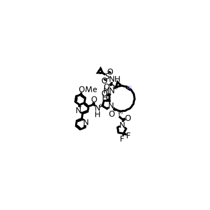 COc1ccc2nc(-c3ccccn3)cc(C(=O)N[C@@H]3C[C@H]4C(=O)N[C@]5(C(=O)NS(=O)(=O)C6CC6)CC5/C=C\CCCCC[C@H](CC(=O)N5CCC(F)(F)C5)C(=O)N4C3)c2c1